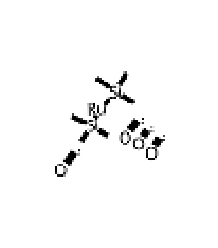 C[Si](C)(C)[Ru][Si](C)(C)C.[C]=O.[C]=O.[C]=O.[C]=O